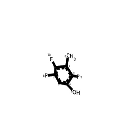 Cc1c(F)c(O)cc(F)c1F